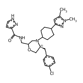 Cc1cc(C2CCC(N3CC(CNC(=O)c4cc[nH]n4)OC[C@@H]3Cc3ccc(Cl)cc3)CC2)nn1C